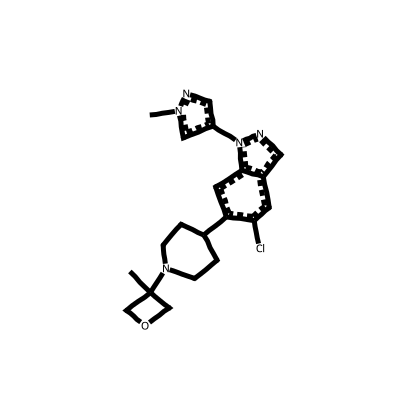 Cn1cc(-n2ncc3cc(Cl)c(C4CCN(C5(C)COC5)CC4)cc32)cn1